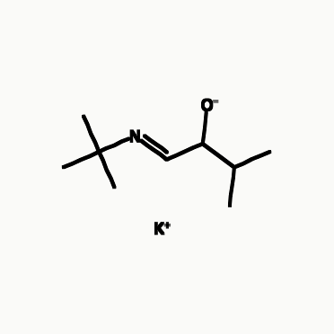 CC(C)C([O-])/C=N/C(C)(C)C.[K+]